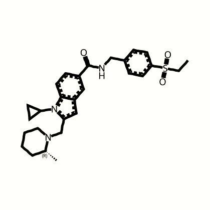 CCS(=O)(=O)c1ccc(CNC(=O)c2ccc3c(c2)cc(CN2CCCC[C@H]2C)n3C2CC2)cc1